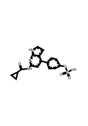 CCCS(=O)(=O)Oc1ccc(-c2cc(NC(=O)C3CC3)nc3[nH]ccc23)cc1